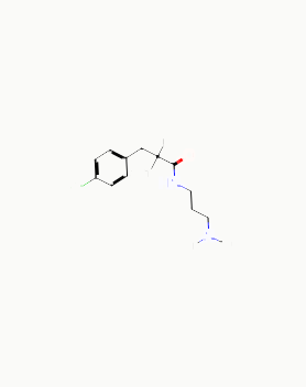 CCCC(CCC)(Cc1ccc(Cl)cc1)C(=O)NCCCN(CC)CC